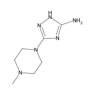 CN1CCN(c2n[nH]c(N)n2)CC1